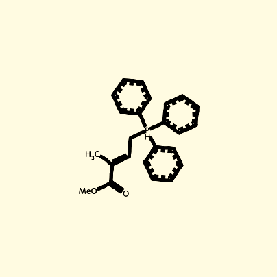 COC(=O)/C(C)=C/C[PH](c1ccccc1)(c1ccccc1)c1ccccc1